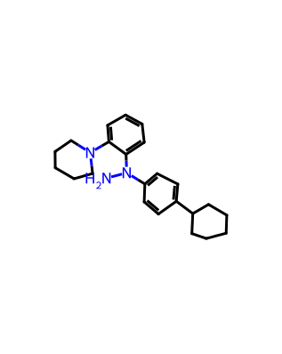 NN(c1ccc(C2CCCCC2)cc1)c1ccccc1N1CCCCC1